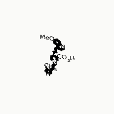 COc1ccc2nccc(CCC[C@@H]3CCN(CCCc4cncn4C)C[C@@H]3C(=O)O)c2c1